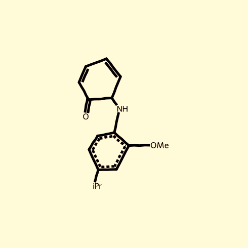 COc1cc(C(C)C)ccc1NC1C=CC=CC1=O